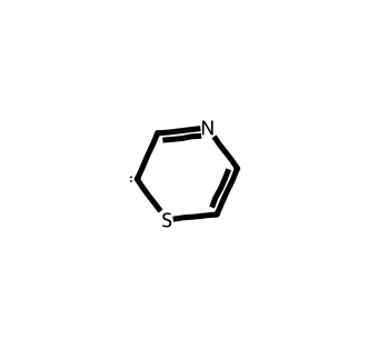 [C]1C=NC=CS1